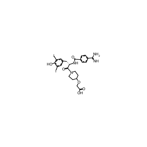 N=C(N)c1ccc(C(=O)N[C@@H](Cc2cc(I)c(O)c(I)c2)C(=O)N2CCC(OCC(=O)O)CC2)cc1